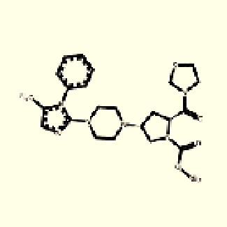 Cc1cnc(N2CCN([C@H]3C[C@@H](C(=O)N4CCSC4)N(C(=O)OC(C)(C)C)C3)CC2)n1-c1ccccc1